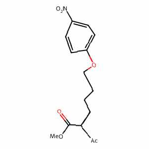 COC(=O)C(CCCCOc1ccc([N+](=O)[O-])cc1)C(C)=O